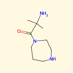 CC(C)(N)C(=O)N1CCCNCC1